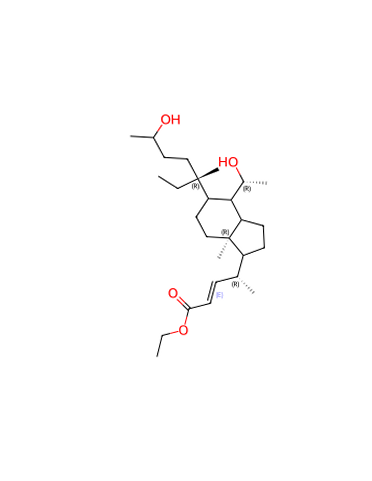 CCOC(=O)/C=C/[C@@H](C)C1CCC2C([C@@H](C)O)C([C@](C)(CC)CCC(C)O)CC[C@@]21C